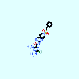 Nc1nc(N)c(C(=O)/N=C2\NCC3(CCN(S(=O)(=O)CCc4ccccc4)CC3)N2)nc1Cl